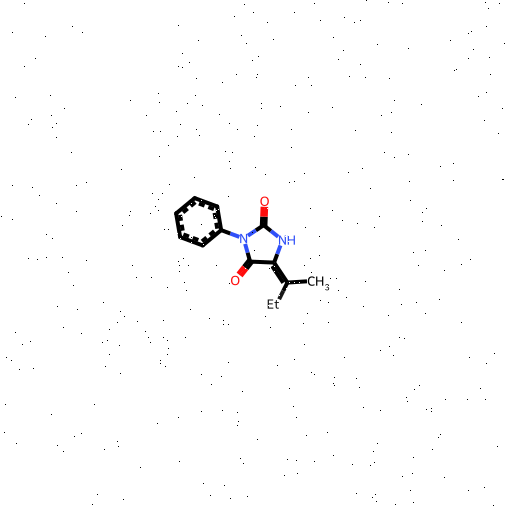 CCC(C)=C1NC(=O)N(c2ccccc2)C1=O